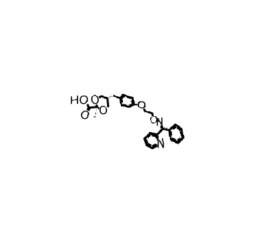 C[C@]1(C(=O)O)OC[C@H](Cc2ccc(OCCO/N=C(/c3ccccc3)c3ccccn3)cc2)CO1